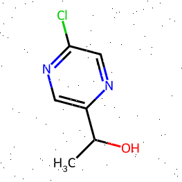 CC(O)c1cnc(Cl)cn1